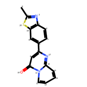 Cc1nc2ccc(-c3cc(=O)n4ccccc4n3)cc2s1